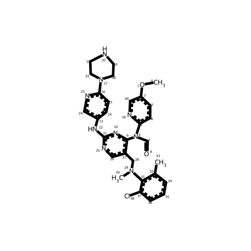 COc1ccc(N(C=O)c2nc(Nc3ccc(N4CCNCC4)nc3)ncc2CN(C)c2c(C)cccc2Cl)nc1